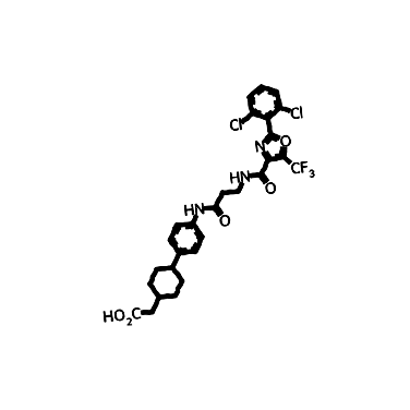 O=C(O)CC1CCC(c2ccc(NC(=O)CCNC(=O)c3nc(-c4c(Cl)cccc4Cl)oc3C(F)(F)F)cc2)CC1